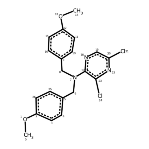 COc1ccc(CN(Cc2ccc(OC)cc2)c2ncc(Cl)nc2Cl)cc1